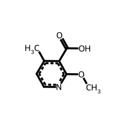 COc1nccc(C)c1C(=O)O